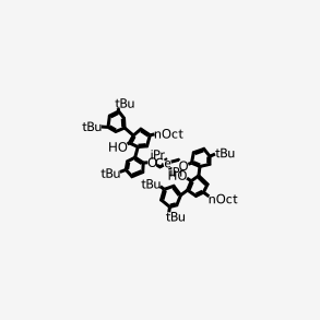 CCCCCCCCc1cc(-c2cc(C(C)(C)C)cc(C(C)(C)C)c2)c(O)c(-c2cc(C(C)(C)C)ccc2O[CH2][Ge]([CH2]Oc2ccc(C(C)(C)C)cc2-c2cc(CCCCCCCC)cc(-c3cc(C(C)(C)C)cc(C(C)(C)C)c3)c2O)([CH](C)C)[CH](C)C)c1